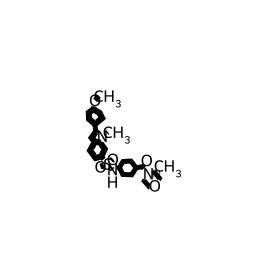 COc1ccc(-c2cc3ccc(S(=O)(=O)NC4CCC(C(=O)N5CCOC[C@@H]5C)CC4)cc3n2C)cc1